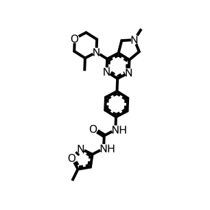 Cc1cc(NC(=O)Nc2ccc(-c3nc4c(c(N5CCOCC5C)n3)CN(C)C4)cc2)no1